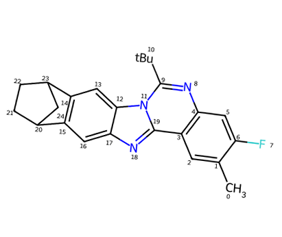 Cc1cc2c(cc1F)nc(C(C)(C)C)n1c3cc4c(cc3nc21)C1CCC4C1